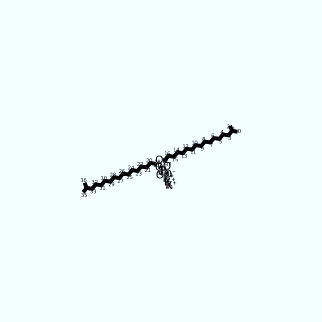 CC(C)CCCCCCCCCCCCCCCOCCCCCCCCCCCCCCCC(C)C.O=P([O-])([O-])[O-].[K+].[K+].[K+]